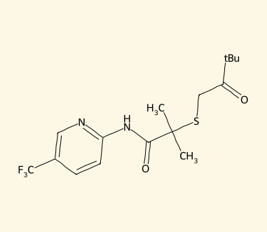 CC(C)(C)C(=O)CSC(C)(C)C(=O)Nc1ccc(C(F)(F)F)cn1